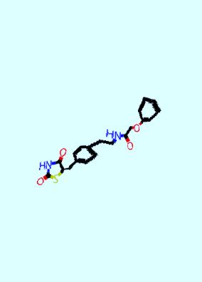 O=C(COc1ccccc1)NCCc1ccc(C[C@H]2SC(=O)NC2=O)cc1